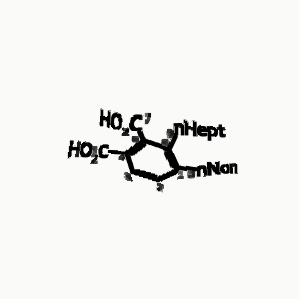 CCCCCCCCCc1ccc(C(=O)O)c(C(=O)O)c1CCCCCCC